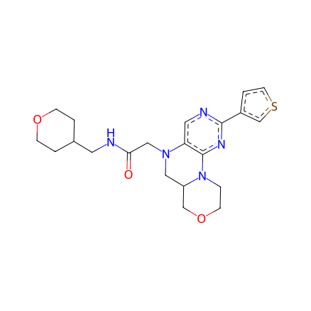 O=C(CN1CC2COCCN2c2nc(-c3ccsc3)ncc21)NCC1CCOCC1